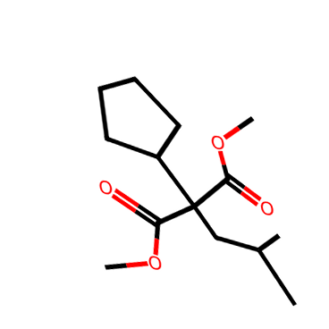 COC(=O)C(CC(C)C)(C(=O)OC)C1CCCC1